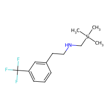 C[Si](C)(C)CNCCc1cccc(C(F)(F)F)c1